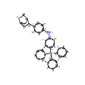 c1ccc([Si](c2ccccc2)(c2ccccc2)c2ccc(Nc3ccc(C4CC5CCC4C5)cc3)cc2)cc1